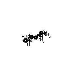 NC(=O)c1cc(-c2cc3cc(-c4cnc(N)c(S(=O)(=O)Nc5ccccc5)c4)ccc3nc2N)ccc1F